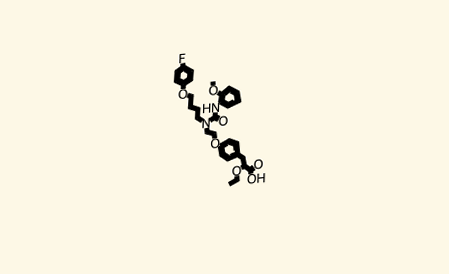 CCOC(Cc1ccc(OCCN(CCCCOc2ccc(F)cc2)C(=O)Nc2ccccc2OC)cc1)C(=O)O